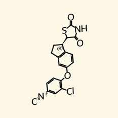 [C-]#[N+]c1ccc(Oc2ccc3c(c2)CC[C@H]3C2SC(=O)NC2=O)c(Cl)c1